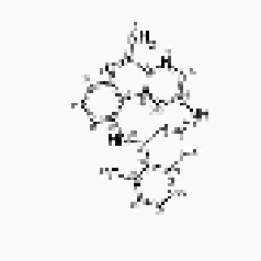 NC(=O)c1nnc2[nH]cc3c2c1-c1ccccc1NC3c1c(F)cccc1F